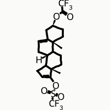 C[C@]12CC[C@H](OC(=O)C(F)(F)F)CC1=CC[C@@H]1C2CC[C@]2(C)C(OS(=O)(=O)C(F)(F)F)=CCC12